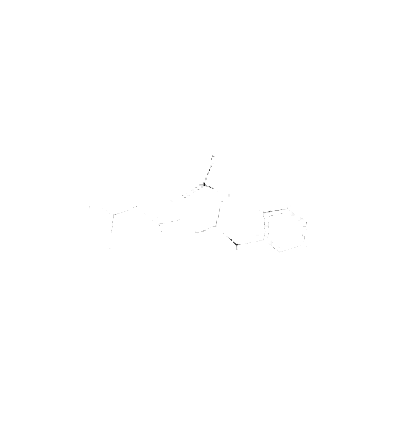 CC(C)CNC[C@@H](O)[C@H](Cc1ccccc1)OC(N)=O